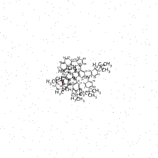 CC(C)(C)c1ccc(N(c2ccc(C(C)(C)C)cc2)c2cc3c4c(c2)N(c2ccc(C(C)(C)C)cc2-c2ccccc2)C2=C(B4n4c5c-3cccc5c3ccc5ccccc5c34)C(C)(C)c3cc4c(cc32)C(C)(C)CCC4(C)C)cc1